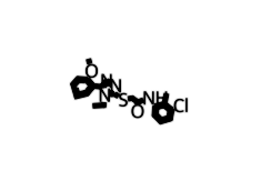 CCn1c(SCC(=O)Nc2cccc(Cl)c2C)nnc1-c1ccccc1OC